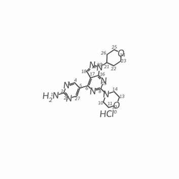 Cl.Nc1ncc(-c2nc(N3CCOCC3)nc3c2cnn3C2CCOCC2)cn1